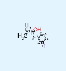 CC(C)[C@H](O)Cc1cccc(I)c1